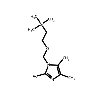 CC(=O)c1nc(C)c(C)n1COCC[Si](C)(C)C